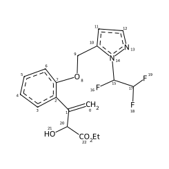 C=C(c1ccccc1OCc1ccnn1C(F)C(F)F)C(O)C(=O)OCC